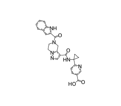 O=C(O)c1ccc(C2(NC(=O)c3cnn4c3CN(C(=O)c3cc5ccccc5[nH]3)CC4)CC2)nc1